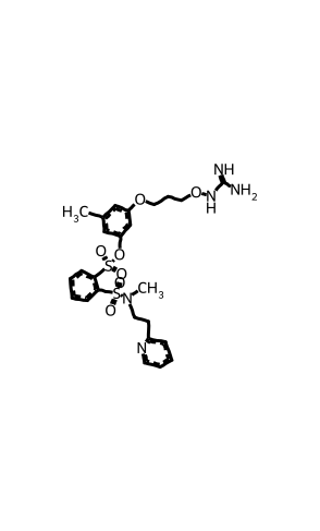 Cc1cc(OCCCONC(=N)N)cc(OS(=O)(=O)c2ccccc2S(=O)(=O)N(C)CCc2ccccn2)c1